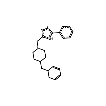 C1=CCC(CC2CCN(Cc3nnc(-c4ccccc4)[nH]3)CC2)C=C1